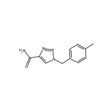 Cc1ccc(Cn2cc(C(N)=O)nn2)cc1